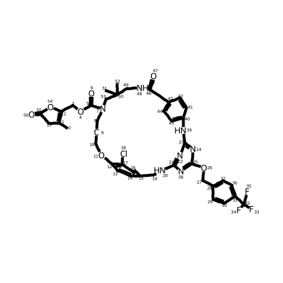 CC1=C(COC(=O)N2CCCOc3ccc(cc3Cl)CNc3nc(nc(OCc4ccc(C(F)(F)F)cc4)n3)Nc3ccc(cc3)C(=O)NCC(C)(C)C2)OC(=O)C1